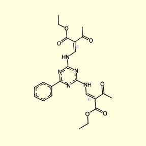 CCOC(=O)/C(=C\Nc1nc(N/C=C(\C(C)=O)C(=O)OCC)nc(-c2ccccc2)n1)C(C)=O